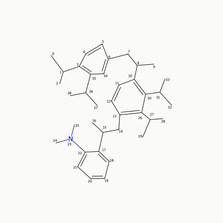 CC(C)c1ccc(CC(C)c2ccc(CC(C)c3ccccc3N(C)C)c(C(C)C)c2C(C)C)cc1C(C)C